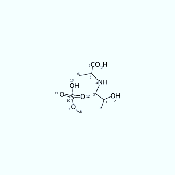 CC(O)CNC(C)C(=O)O.COS(=O)(=O)O